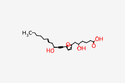 CCCCCC=CCC(O)C#Cc1ccc(CC(O)CCCC(=O)O)o1